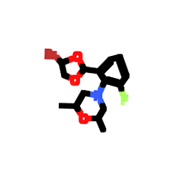 CC1CN(c2c(F)cccc2C2OCC(Br)O2)CC(C)O1